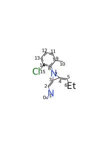 C=N/C=C1\C(=C/CC)N1c1c(C)cccc1Cl